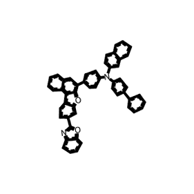 c1ccc(-c2ccc(N(c3ccc(-c4cc5ccccc5c5c4oc4cc(-c6nc7ccccc7o6)ccc45)cc3)c3ccc4ccccc4c3)cc2)cc1